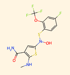 CNc1sc(N(O)Sc2ccc(F)cc2OC(F)(F)F)cc1C(N)=O